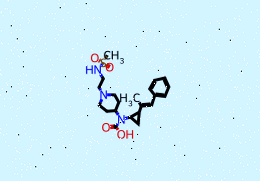 C/C(=C\c1ccccc1)C1CC1N(C(=O)O)C1CCN(CCNS(C)(=O)=O)CC1